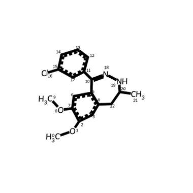 COc1cc2c(cc1OC)C(c1cccc(Cl)c1)=NNC(C)C2